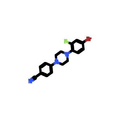 N#Cc1ccc(N2CCN(c3ccc(Br)cc3F)CC2)cc1